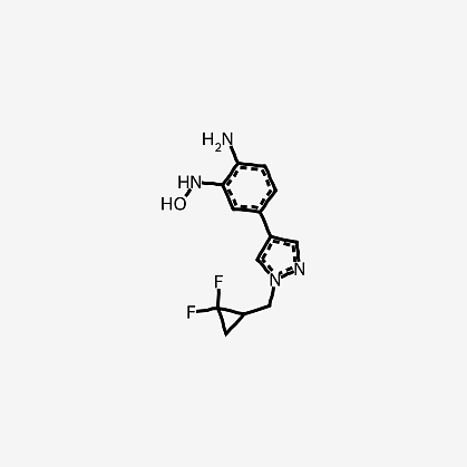 Nc1ccc(-c2cnn(CC3CC3(F)F)c2)cc1NO